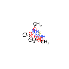 C=CCON=C(C(=O)OC(c1ccccc1)c1ccccc1)c1nsc(NP(=O)(OC)OC)n1